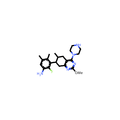 COc1nc2c(c(N3CCNCC3)n1)CC(C)C(c1c(C)c(C)cc(N)c1F)C2